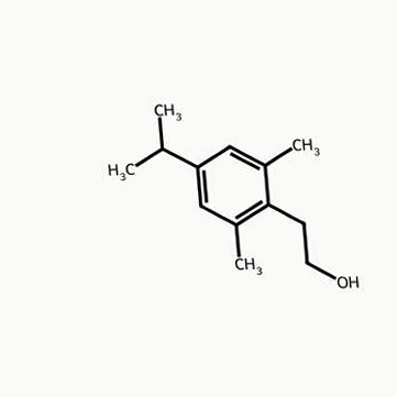 Cc1cc(C(C)C)cc(C)c1CCO